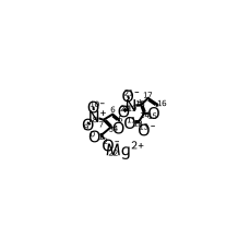 O=C([O-])c1occc1[N+](=O)[O-].O=C([O-])c1occc1[N+](=O)[O-].[Mg+2]